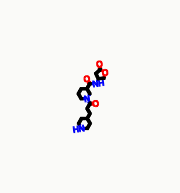 O=C1C[C@H](NC(=O)C2CCCN(C(=O)CCC3CCNCC3)C2)CO1